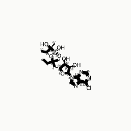 CCC(C)(C[C@H]1OC(n2cnc3c(Cl)ncnc32)[C@H](O)[C@@H]1O)OP(=O)(O)[C@@](C)(O)CC